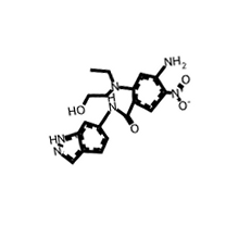 CCN(CCO)c1cc(N)c([N+](=O)[O-])cc1C(=O)Nc1ccc2cn[nH]c2c1